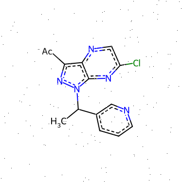 CC(=O)c1nn(C(C)c2cccnc2)c2nc(Cl)cnc12